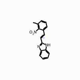 Cc1cccc(/C=C/c2nc3ccccc3[nH]2)c1[N+](=O)[O-]